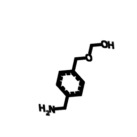 NCc1ccc(COCO)cc1